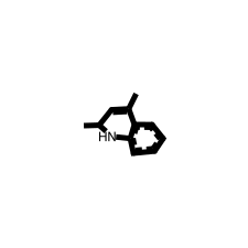 CC1=CC(C)Nc2ccccc21